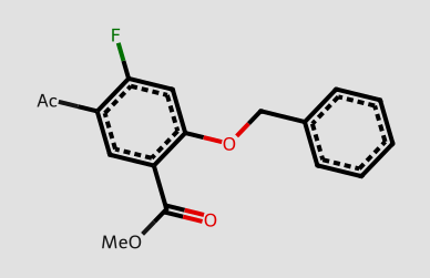 COC(=O)c1cc(C(C)=O)c(F)cc1OCc1ccccc1